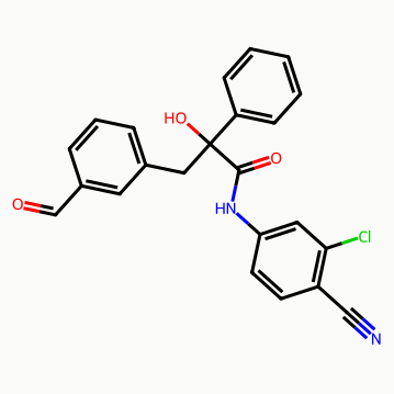 N#Cc1ccc(NC(=O)C(O)(Cc2cccc(C=O)c2)c2ccccc2)cc1Cl